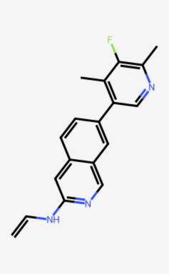 C=CNc1cc2ccc(-c3cnc(C)c(F)c3C)cc2cn1